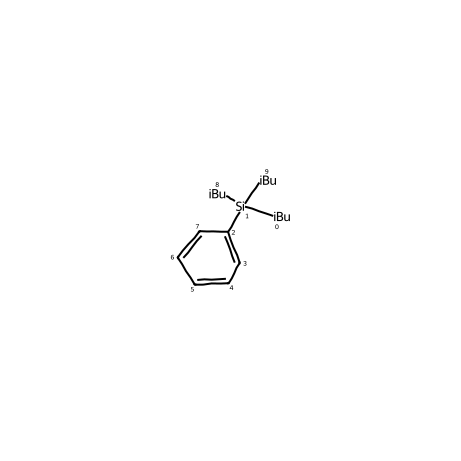 CCC(C)[Si](c1ccccc1)(C(C)CC)C(C)CC